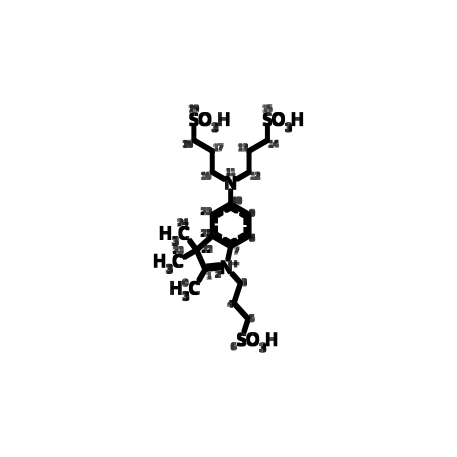 CC1=[N+](CCCS(=O)(=O)O)c2ccc(N(CCCS(=O)(=O)O)CCCS(=O)(=O)O)cc2C1(C)C